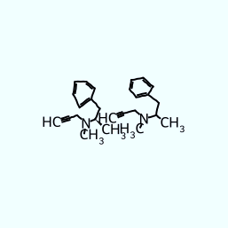 C#CCN(C)C(C)Cc1ccccc1.C#CCN(C)[C@H](C)Cc1ccccc1